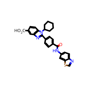 O=C(O)c1ccc2c(c1)nc(-c1ccc(C(=O)Nc3ccc4ncsc4c3)cc1)n2C1CCCCC1